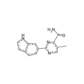 Cc1cnc(-c2ccc3cc[nH]c3c2)nc1C(N)=O